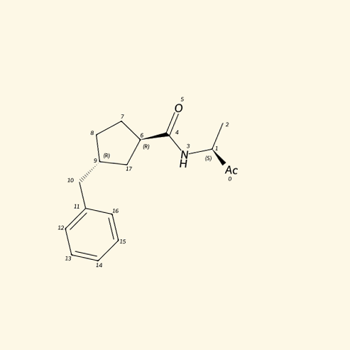 CC(=O)[C@H](C)NC(=O)[C@@H]1CC[C@@H](Cc2ccccc2)C1